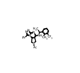 CC(=O)N1Cc2c(NC(C)c3cccc(C(F)(F)F)c3C)nc3nnc(C(C)C)n3c2C1